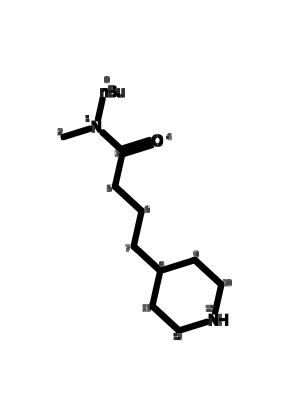 CCCCN(C)C(=O)CCCC1CCNCC1